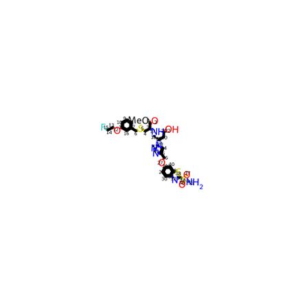 COC(=O)C(CSCc1cccc(OCCF)c1)NC[C@@H](CCO)n1cc(COc2ccc3nc(S(N)(=O)=O)sc3c2)nn1